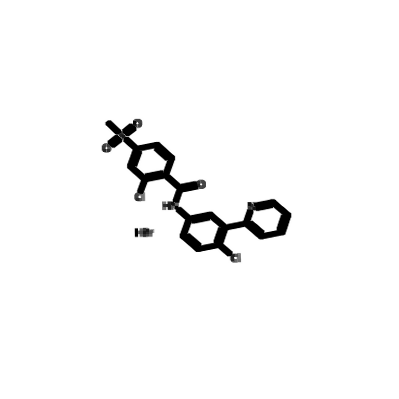 Br.CS(=O)(=O)c1ccc(C(=O)Nc2ccc(Cl)c(-c3ccccn3)c2)c(Cl)c1